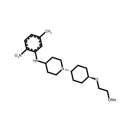 COCCO[C@H]1CC[C@H](N2CCC(Nc3cc(C)ccc3[N+](=O)[O-])CC2)CC1